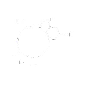 C[C@H]1C/C=C\C(=O)[C@@H](O)[C@@H](O)CCCc2cc(O)cc(O)c2C(=O)O1